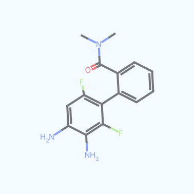 CN(C)C(=O)c1ccccc1-c1c(F)cc(N)c(N)c1F